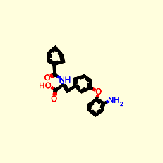 Nc1ccccc1Oc1cccc(/C=C(\NC(=O)c2ccccc2)C(=O)O)c1